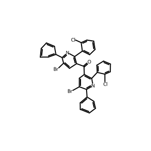 O=C(c1cc(Br)c(-c2ccccc2)nc1-c1ccccc1Cl)c1cc(Br)c(-c2ccccc2)nc1-c1ccccc1Cl